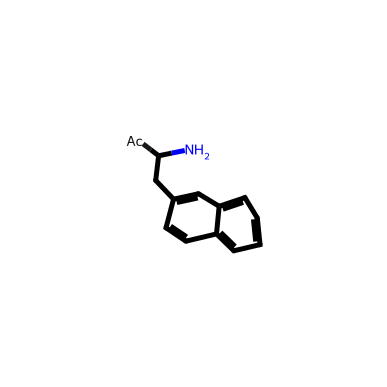 CC(=O)C(N)Cc1ccc2ccccc2c1